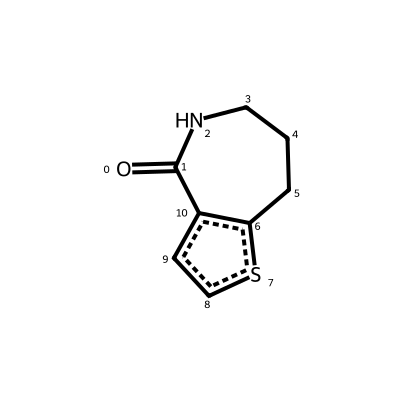 O=C1NCCCc2sccc21